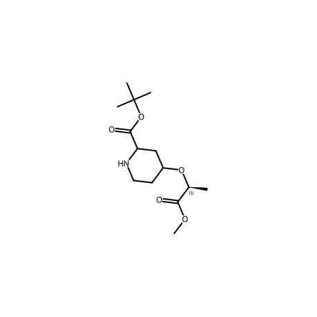 COC(=O)[C@H](C)OC1CCNC(C(=O)OC(C)(C)C)C1